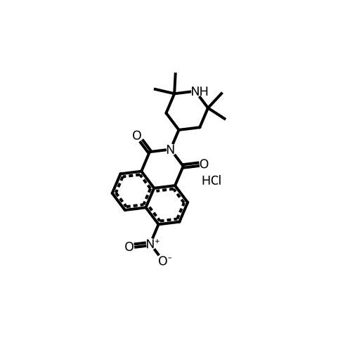 CC1(C)CC(N2C(=O)c3cccc4c([N+](=O)[O-])ccc(c34)C2=O)CC(C)(C)N1.Cl